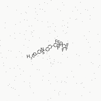 COCc1ccc2nc(-c3ccc4cc(-c5cc(F)c(C(F)(F)Oc6cc(F)c(F)c(F)c6)c(F)c5)ccc4c3)sc2c1